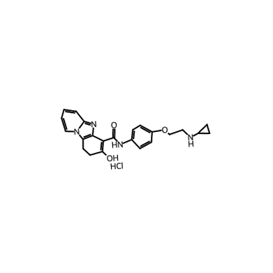 Cl.O=C(Nc1ccc(OCCNC2CC2)cc1)C1=C(O)CCc2c1nc1ccccn21